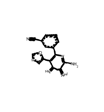 N#Cc1cccc(C2=C(c3cnco3)C(=N)C(=N)C(N)=N2)c1